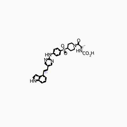 C[C@H](NC(=O)O)C(=O)N1CCC(S(=O)(=O)c2ccc(Nc3ncc(/C=C/c4cccc5[nH]ccc45)cn3)cc2)CC1